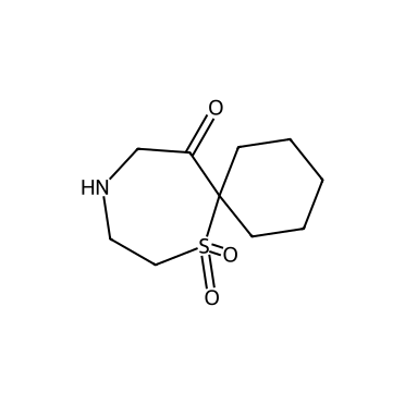 O=C1CNCCS(=O)(=O)C12CCCCC2